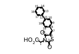 O=C(O)CN1C(=O)S/C(=C/c2ccc(-c3ccccc3)cc2)C1=O